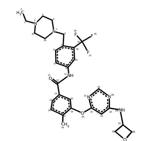 CCN1CCN(Cc2ccc(NC(=O)c3ccc(C)c(Oc4cc(NC5COC5)ncn4)c3)cc2C(F)(F)F)CC1